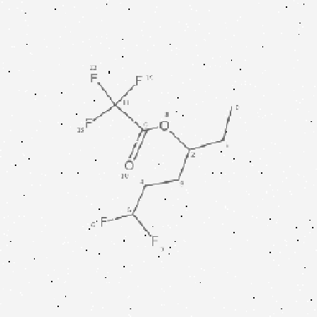 CCC(CCC(F)F)OC(=O)C(F)(F)F